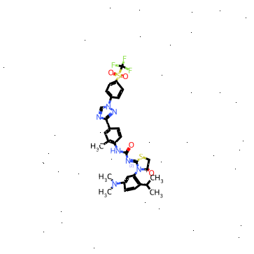 Cc1cc(-c2ncn(-c3ccc(S(=O)(=O)C(F)(F)F)cc3)n2)ccc1NC(=O)/N=C1\SCC(=O)N1c1cc(N(C)C)ccc1C(C)C